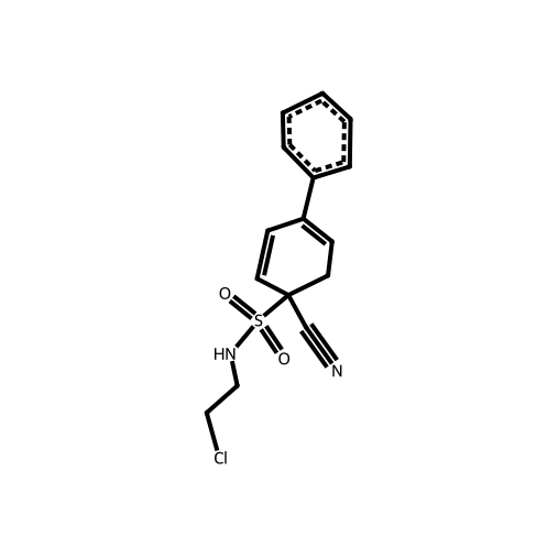 N#CC1(S(=O)(=O)NCCCl)C=CC(c2ccccc2)=CC1